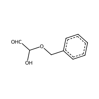 O=CC(O)OCc1ccccc1